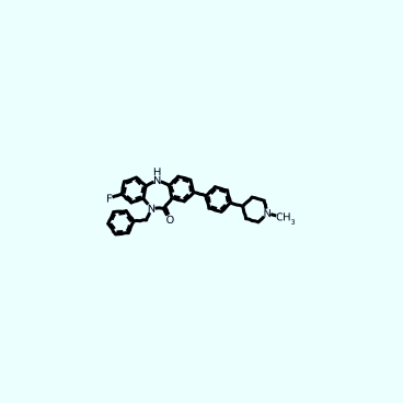 CN1CCC(c2ccc(-c3ccc4c(c3)C(=O)N(Cc3ccccc3)c3cc(F)ccc3N4)cc2)CC1